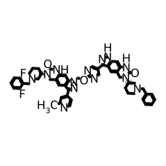 Cc1cc(-c2nn(COc3ncc(-c4n[nH]c5cc6c(cc45)CN([C@@H]4CCCN(Cc5ccccc5)C4)C(=O)N6)cn3)c3cc4c(cc23)CN([C@@H]2CCCN(Cc3c(F)cccc3F)C2)C(=O)N4)ccn1